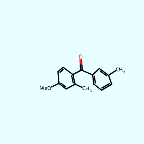 COc1ccc(C(=O)c2cccc(C)c2)c(C)c1